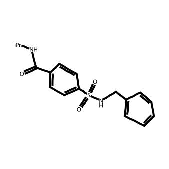 CC(C)NC(=O)c1ccc(S(=O)(=O)NCc2ccccc2)cc1